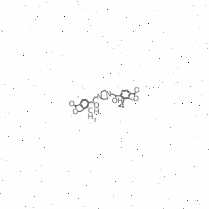 Cc1c([C@@H](O)CN2CCN(CC(O)c3ccc4c(c3C3CC3)COC4=O)CC2)ccc2c1COC2=O